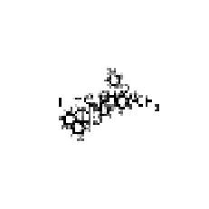 COc1ccc([C@@H]2CC(=O)N(C(=O)NC(C)c3cccc4ccccc34)N2C)cc1OC1CCCC1